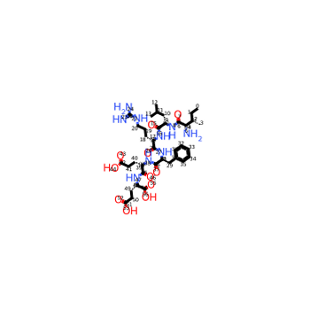 CC[C@H](C)[C@H](N)C(=O)N[C@@H](CC(C)C)C(=O)N[C@@H](CCCNC(=N)N)C(=O)N[C@@H](Cc1ccccc1)C(=O)N[C@@H](CCC(=O)O)C(=O)N[C@@H](CCC(=O)O)C(=O)O